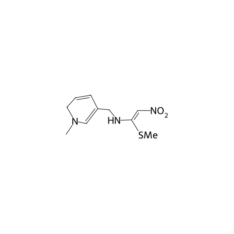 CSC(=C[N+](=O)[O-])NCC1=CN(C)CC=C1